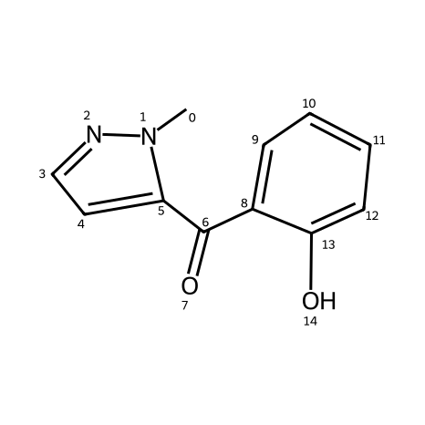 Cn1nccc1C(=O)c1ccccc1O